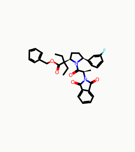 CCC(CC)(C(=O)OCc1ccccc1)[C@H]1CC[C@@H](c2cccc(F)c2)N1C(=O)[C@@H](C)N1C(=O)c2ccccc2C1=O